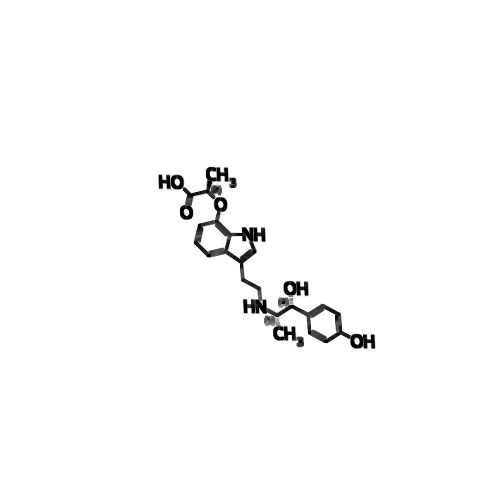 C[C@H](NCCc1c[nH]c2c(O[C@H](C)C(=O)O)cccc12)[C@H](O)c1ccc(O)cc1